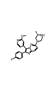 COc1cc(-c2c(-c3ccc(F)cc3)nc3ccc(N4CCN[C@H](C)C4)nn23)ccn1